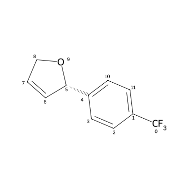 FC(F)(F)c1ccc([C@@H]2C=CCO2)cc1